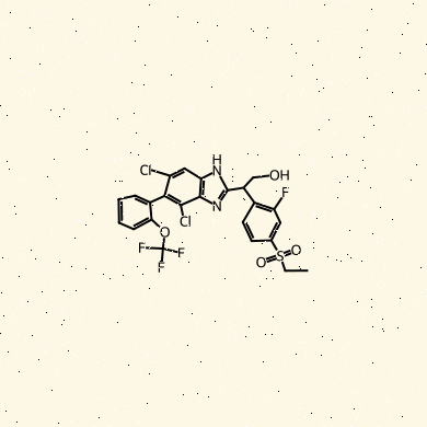 CCS(=O)(=O)c1ccc(C(CO)c2nc3c(Cl)c(-c4ccccc4OC(F)(F)F)c(Cl)cc3[nH]2)c(F)c1